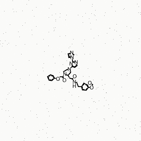 O=C(CC1CN(c2ccnc(-n3ccnc3)n2)CCN1C(=O)COc1ccccc1)NCCc1ccc2c(c1)OCO2